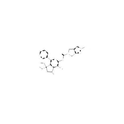 CCC1(CC)CC(C)c2c(N)c(NC(=O)N3Cc4cn(C)nc4C3)nc(-c3cccnc3)c21